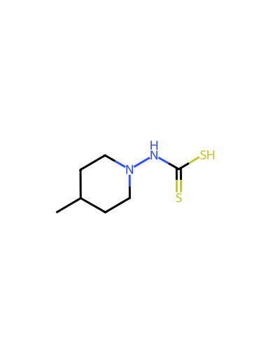 CC1CCN(NC(=S)S)CC1